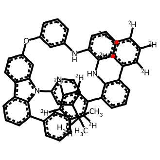 [2H]c1c([2H])c([2H])c(-c2cccc(-c3c([2H])c([2H])c([2H])c([2H])c3[2H])c2Nc2ccccc2Nc2cccc(Oc3ccc4c5cccc(-c6ccccc6)c5n(-c5cc(C(C)(C)C)ccn5)c4c3)c2)c([2H])c1[2H]